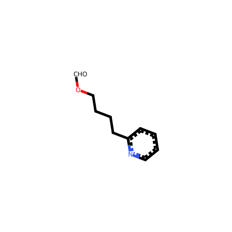 O=COCCCCc1ccccn1